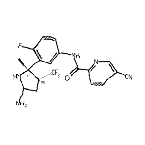 C[C@]1(c2cc(NC(=O)c3ccc(C#N)cn3)ccc2F)NC(N)C[C@H]1C(F)(F)F